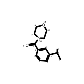 CC(C)c1cccc(C(=O)N2CCOCC2)c1